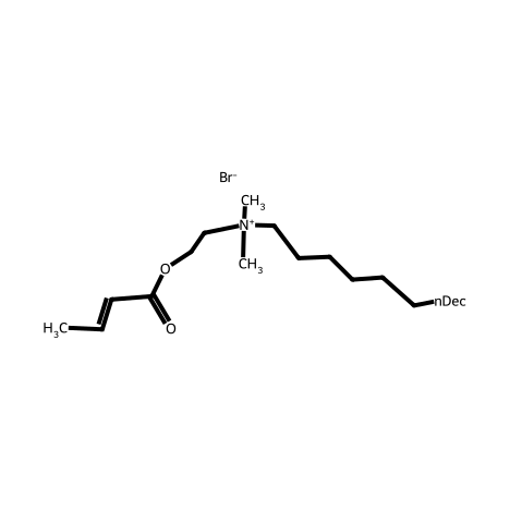 CC=CC(=O)OCC[N+](C)(C)CCCCCCCCCCCCCCCC.[Br-]